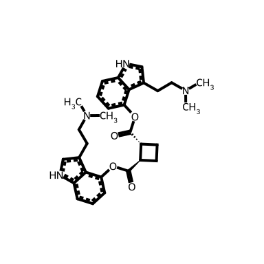 CN(C)CCc1c[nH]c2cccc(OC(=O)[C@@H]3CC[C@H]3C(=O)Oc3cccc4[nH]cc(CCN(C)C)c34)c12